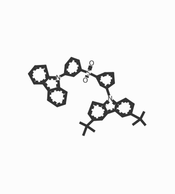 CC(C)(C)c1ccc2c(c1)c1cc(C(C)(C)C)ccc1n2-c1cccc(S(=O)(=O)c2cccc(-n3c4ccccc4c4ccccc43)c2)c1